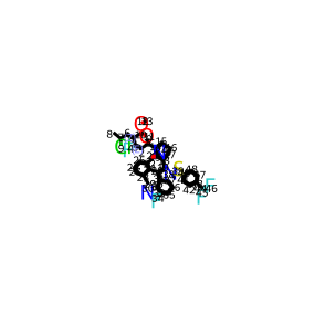 C=C(/C=C(F)\C(=C/C(C)Cl)C(=O)OC)c1cccc(-c2c(-c3c(C#N)cccc3C#N)c3cc(F)ccc3n2Sc2ccc(C(F)F)cc2)c1